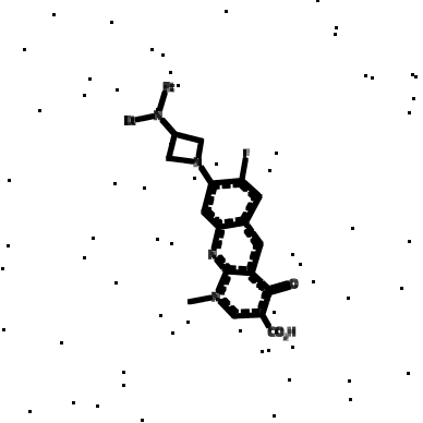 CCN(CC)C1CN(c2cc3nc4c(cc3cc2F)c(=O)c(C(=O)O)cn4C)C1